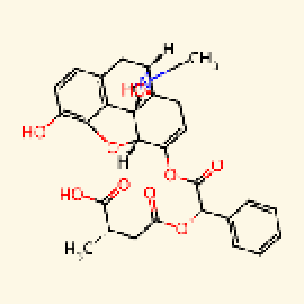 C[C@@H](CC(=O)O[C@H](C(=O)OC1=CC[C@@]2(O)[C@H]3Cc4ccc(O)c5c4[C@@]2(CCN3C)[C@H]1O5)c1ccccc1)C(=O)O